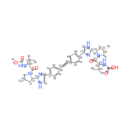 COC(=O)N[C@H](C(=O)N1CC(C)CC1c1nc(-c2ccc(C#Cc3ccc(-c4c[nH]c([C@@H]5C[C@H](C)CN5C(=O)[C@@H](NC(=O)O)C(C)C)n4)cc3)cc2)c[nH]1)C(C)C